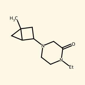 CCN1CCN(C2CC3(C)CC23)CC1=O